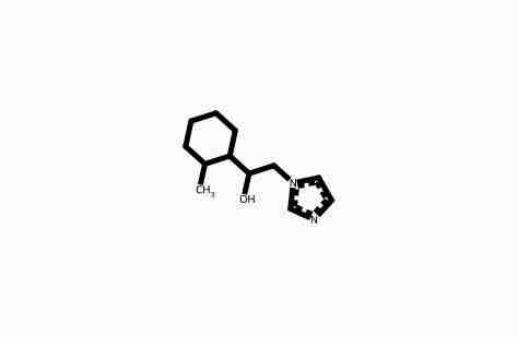 CC1CCCCC1C(O)Cn1ccnc1